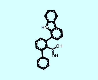 OB(O)c1c(-c2ccccc2)cccc1-c1cccc2c1[nH]c1ccccc12